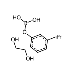 CC(C)c1cccc(OB(O)O)c1.OCCO